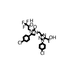 C[C@H](O)c1nc(Cn2cc(-c3ccc(Cl)cc3)n(C[C@H](O)C(F)(F)F)c2=O)nn1-c1ccc(Cl)cc1